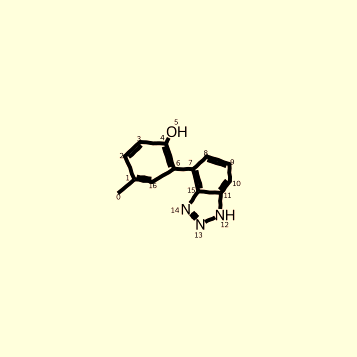 Cc1ccc(O)c(-c2cccc3[nH]nnc23)c1